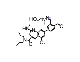 CCCN(CCC)C(=O)C1=Cc2c(cc(-c3ccc(C=O)c(/C=N\N(C)CCO)c3)cc2OC)N=C(NC)C1